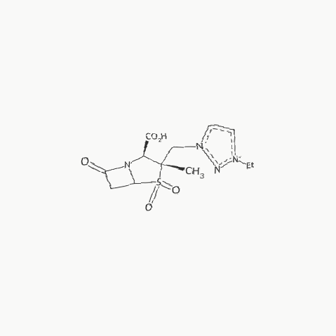 CC[n+]1ccn(C[C@@]2(C)[C@H](C(=O)O)N3C(=O)CC3S2(=O)=O)n1